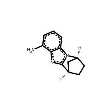 Nc1cccc2c1nc1n2[C@H]2CC[C@@H]1C2